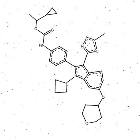 Cc1nnc(-c2c(-c3ccc(NC(=O)OC(C)C4CC4)cc3)n(C3CCC3)c3cc(OC4CCOCC4)ccc23)o1